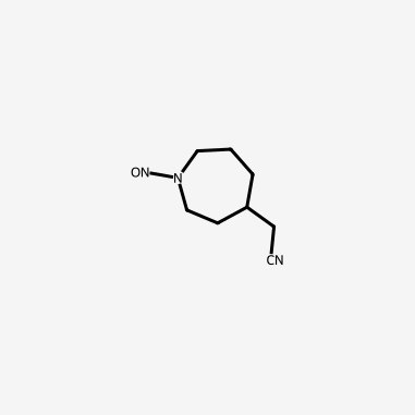 N#CCC1CCCN(N=O)CC1